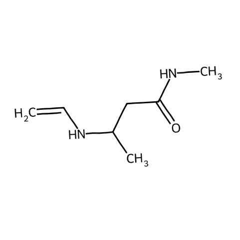 C=CNC(C)CC(=O)NC